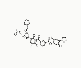 CC(=O)OC[C@H]1O[C@@H](n2cc(F)c(=O)n(C(=O)c3cccc(C(=O)Oc4cc(=O)n(C5CCCO5)cc4Cl)c3)c2=O)C[C@@H]1OCc1ccccc1